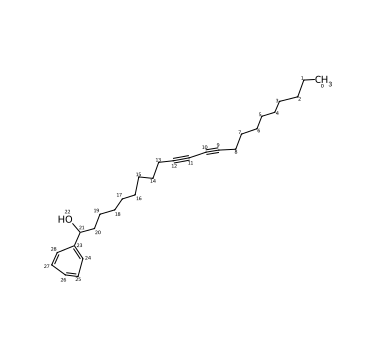 CCCCCCCCCC#CC#CCCCCCCCCC(O)c1ccccc1